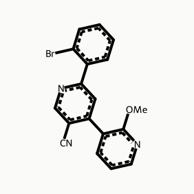 COc1ncccc1-c1cc(-c2ccccc2Br)ncc1C#N